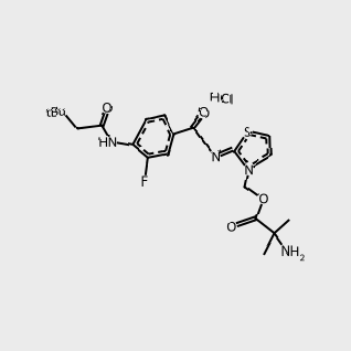 CC(C)(C)CC(=O)Nc1ccc(C(=O)N=c2sccn2COC(=O)C(C)(C)N)cc1F.Cl